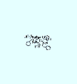 COC(C(=O)NC(Cc1ccccc1)C(O)CCC(O)C(N)(Cc1ccccc1)NC(=O)O)C(C)(C)C